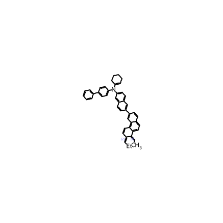 C/C=c1\c(=C/CC)ccc2c1ccc1ccc(-c3ccc4cc(N(C5=CCCCC5)c5ccc(-c6ccccc6)cc5)ccc4c3)cc12